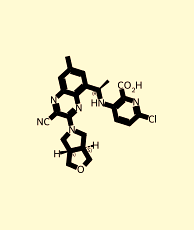 Cc1cc([C@@H](C)Nc2ccc(Cl)nc2C(=O)O)c2nc(N3C[C@H]4COC[C@@H]4C3)c(C#N)nc2c1